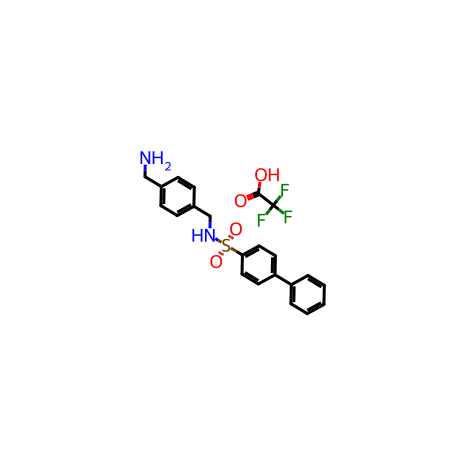 NCc1ccc(CNS(=O)(=O)c2ccc(-c3ccccc3)cc2)cc1.O=C(O)C(F)(F)F